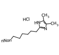 CCCCCCCCCCCCCCCc1nc(C)c(C)[nH]1.Cl